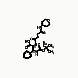 CC(C)(C)OC(=O)N[C@@H](c1ccccc1)[C@@H](OC(=O)CCC(=O)NN1CCOCC1)C(=O)O